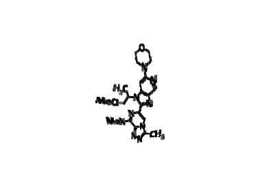 CNc1nc(-c2nc3cnc(N4CCOCC4)cc3n2C(C)COC)cn2c(C)nnc12